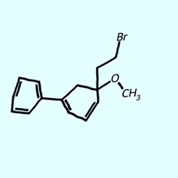 COC1(CCBr)C=CC=C(c2ccccc2)C1